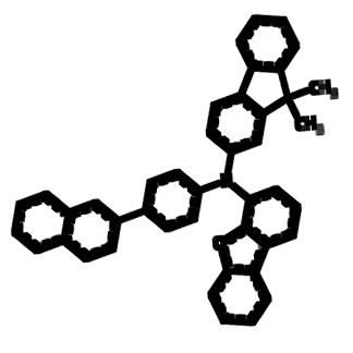 CC1(C)c2ccccc2-c2ccc(N(c3ccc(-c4ccc5ccccc5c4)cc3)c3cccc4c3oc3ccccc34)cc21